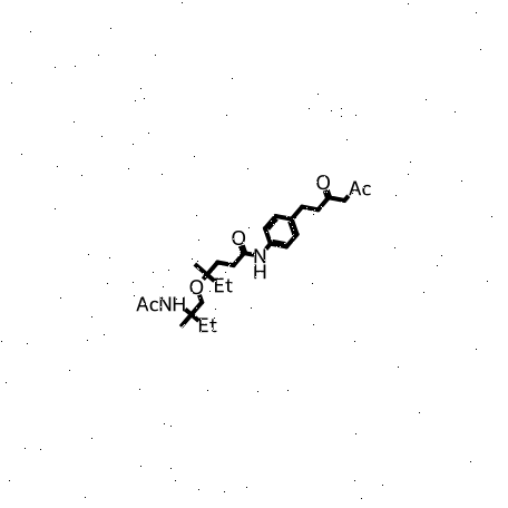 CCC(C)(COC(C)(CC)CCC(=O)Nc1ccc(CCC(=O)CC(C)=O)cc1)NC(C)=O